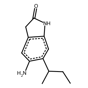 CCC(C)c1cc2c(cc1N)CC(=O)N2